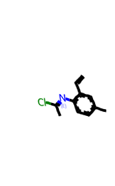 C=Cc1cc(C)ccc1/N=C(\C)Cl